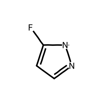 FC1=CC=N[N]1